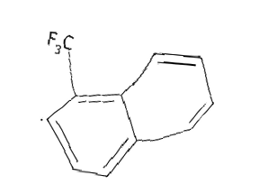 FC(F)(F)c1[c]ccc2ccccc12